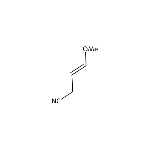 COC=CCC#N